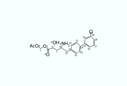 CC(=O)OCOC(=O)[C@H](O)CC(N)Cc1ccc(-c2cccc(Cl)c2)cc1